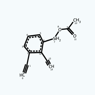 C#Cc1cccc([SiH2]OC(C)=O)c1C#C